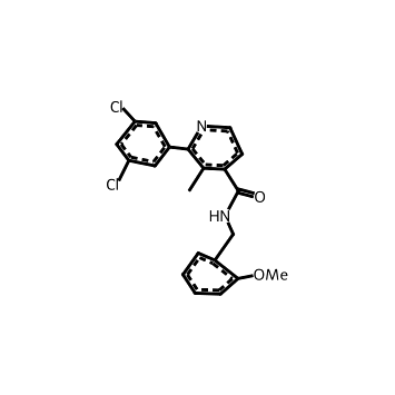 COc1ccccc1CNC(=O)c1ccnc(-c2cc(Cl)cc(Cl)c2)c1C